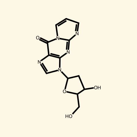 O=c1c2ncn(C3CC(O)C(CO)O3)c2nc2ncccn12